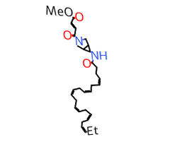 CC/C=C\C/C=C\C/C=C\C/C=C\C/C=C\C/C=C\CCC(=O)NC1C2CN(C(=O)C=CC(=O)OC)CC21